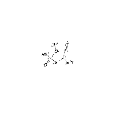 C#C[C@H](CCC)SP(=O)(S)OCC